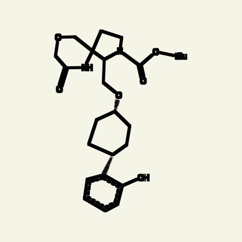 CC(C)(C)OC(=O)N1CCC2(COCC(=O)N2)C1CO[C@H]1CC[C@@H](c2ccccc2O)CC1